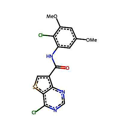 COc1cc(NC(=O)c2csc3c(Cl)ncnc23)c(Cl)c(OC)c1